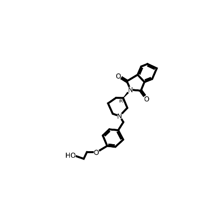 O=C1c2ccccc2C(=O)N1[C@@H]1CCCN(Cc2ccc(OCCO)cc2)C1